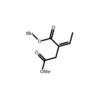 CC=C(CC(=O)OC)C(=O)OC(C)(C)C